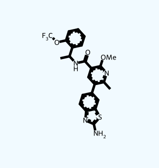 COc1nc(C)c(-c2ccc3nc(N)sc3c2)cc1C(=O)NC(C)c1ccccc1OC(F)(F)F